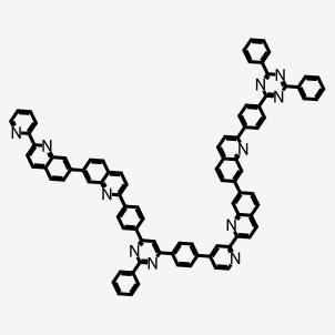 c1ccc(-c2nc(-c3ccc(-c4ccnc(-c5ccc6ccc(-c7ccc8ccc(-c9ccc(-c%10nc(-c%11ccccc%11)nc(-c%11ccccc%11)n%10)cc9)nc8c7)cc6n5)c4)cc3)cc(-c3ccc(-c4ccc5ccc(-c6ccc7ccc(-c8ccccn8)nc7c6)cc5n4)cc3)n2)cc1